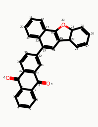 O=C1c2ccccc2C(=O)c2cc(-c3cc4c(c5ccccc35)OC3C=CC=CC43)ccc21